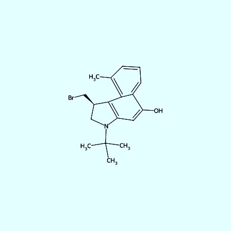 Cc1cccc2c(O)cc3c(c12)[C@H](CBr)CN3C(C)(C)C